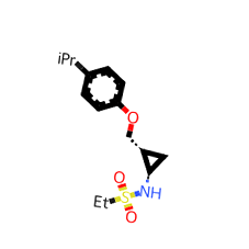 CCS(=O)(=O)N[C@H]1C[C@H]1COc1ccc(C(C)C)cc1